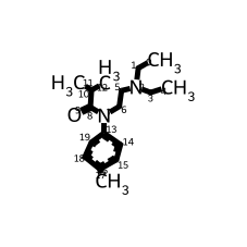 CCN(CC)CCN(C(=O)C(C)C)c1ccc(C)cc1